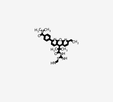 C=Cc1ccc2c(n1)Oc1nc(-c3ccc(C(=O)N(C)C)cc3)ccc1C2C(C)(C)C(=O)NC(=N)SC=N